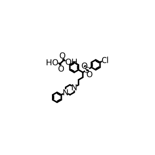 O=C(O)C(=O)O.O=S(=O)(c1ccc(Cl)cc1)C(CCCN1CCN(c2ccccc2)CC1)c1ccccc1